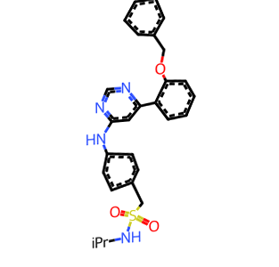 CC(C)NS(=O)(=O)Cc1ccc(Nc2cc(-c3ccccc3OCc3ccccc3)ncn2)cc1